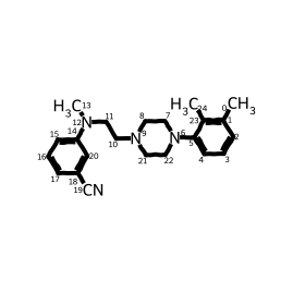 Cc1cccc(N2CCN(CCN(C)c3cccc(C#N)c3)CC2)c1C